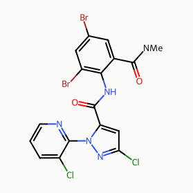 CNC(=O)c1cc(Br)cc(Br)c1NC(=O)c1cc(Cl)nn1-c1ncccc1Cl